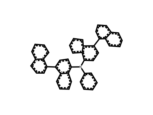 c1ccc(N(c2ccc(-c3cccc4ccccc34)c3ccccc23)c2ccc(-c3cccc4ccccc34)c3ccccc23)cc1